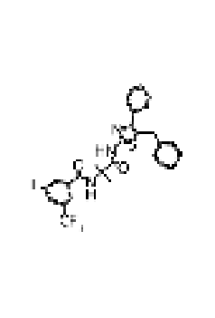 CC(C)(NC(=O)c1cc(F)cc(C(F)(F)F)c1)C(=O)Nc1nc(-c2ccccc2)c(Cc2ccccc2)s1